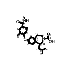 CNC(=O)c1ccc(Oc2ccc3c(c2)CCN(C(=O)O)CC3CC(C)C)c(C)c1